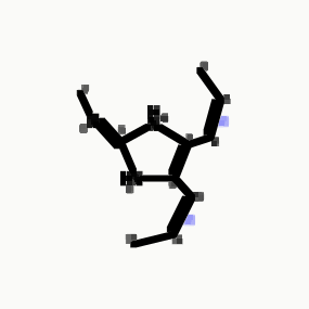 C/C=C\c1[nH]c(=NC)[nH]c1/C=C\C